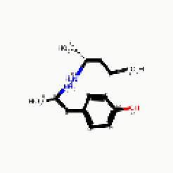 N[C@@H](CCC(=O)O)C(=O)O.N[C@@H](Cc1ccc(O)cc1)C(=O)O